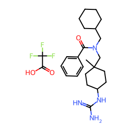 CC1(CN(CC2CCCCC2)C(=O)c2ccccc2)CCC(NC(=N)N)CC1.O=C(O)C(F)(F)F